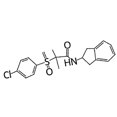 C=S(=O)(c1ccc(Cl)cc1)C(C)(C)C(=O)NC1Cc2ccccc2C1